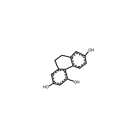 Oc1ccc2c(c1)CCc1cc(O)cc(O)c1-2